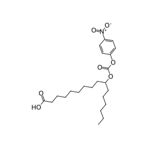 CCCCCCC(CCCCCCCCC(=O)O)OC(=O)Oc1ccc([N+](=O)[O-])cc1